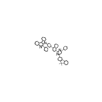 CC1(C)c2ccccc2-c2cc(-c3cc(-c4ccccc4)nc(-c4ccc(-c5ccc(-n6c7ccccc7c7c8ccccc8nc(-c8ccccc8)c76)cc5)c5ccccc45)n3)ccc21